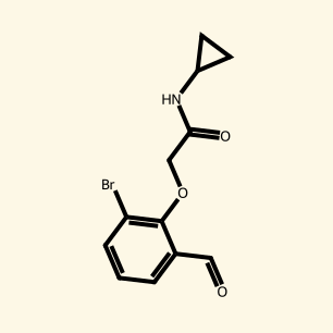 O=Cc1cccc(Br)c1OCC(=O)NC1CC1